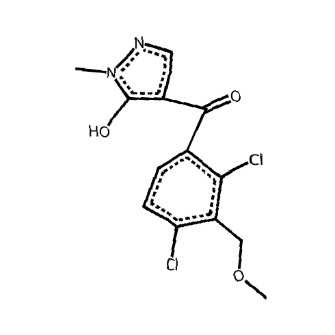 COCc1c(Cl)ccc(C(=O)c2cnn(C)c2O)c1Cl